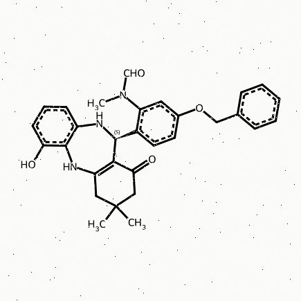 CN(C=O)c1cc(OCc2ccccc2)ccc1[C@@H]1Nc2cccc(O)c2NC2=C1C(=O)CC(C)(C)C2